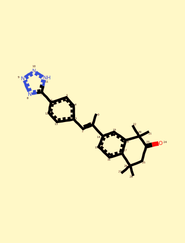 C/C(=C\c1ccc(-c2nnn[nH]2)cc1)c1ccc2c(c1)C(C)(C)C(=O)CC2(C)C